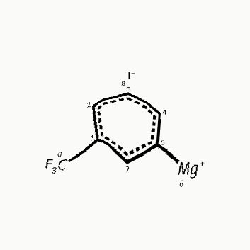 FC(F)(F)c1ccc[c]([Mg+])c1.[I-]